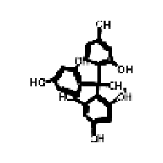 CC(c1ccc(O)cc1O)(c1ccc(O)cc1O)c1c(O)cc(O)cc1O